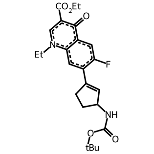 CCOC(=O)c1cn(CC)c2cc(C3=CC(NC(=O)OC(C)(C)C)CC3)c(F)cc2c1=O